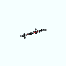 O=C(NCSCCSC/N=C/OOCSCCSCOC(=O)NCSCCSC/N=C/OOCCO)OCCO